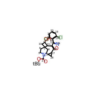 CC(C)(C)OC(=O)N1CCC2(CC1)CC(O)C2c1c(-c2c(Cl)cccc2Cl)noc1C1CC1